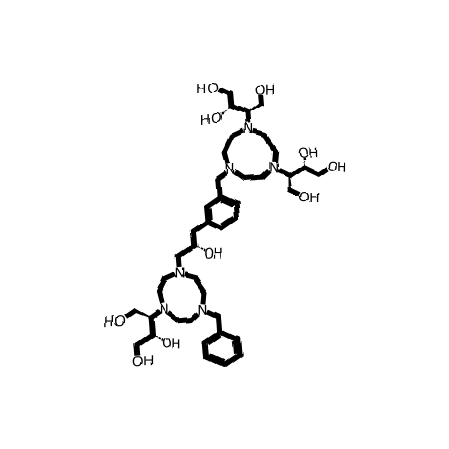 OC[C@@H](O)[C@@H](CO)N1CCN(Cc2ccccc2)CCN(C[C@@H](O)Cc2cccc(CN3CCN([C@H](CO)[C@H](O)CO)CCN([C@H](CO)[C@H](O)CO)CC3)c2)CC1